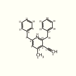 C#Cc1c(C)cc(Cc2ccccc2)nc1Cc1ccccc1